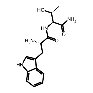 C[C@@H](O)[C@H](NC(=O)[C@@H](N)Cc1c[nH]c2ccccc12)C(N)=O